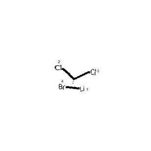 ClCCl.[Li][Br]